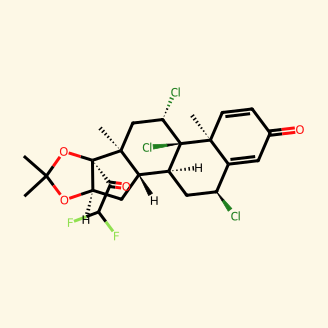 CC1(C)O[C@@H]2C[C@H]3[C@@H]4C[C@H](Cl)C5=CC(=O)C=C[C@]5(C)[C@@]4(Cl)[C@@H](Cl)C[C@]3(C)[C@]2(C(=O)C(F)F)O1